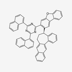 c1ccc2c(c1)-c1cc3ccccc3cc1CC[C@H]2c1cc2c(cc1-c1nc(-c3cccc4ccccc34)nc(-c3cccc4ccccc34)n1)oc1ccccc12